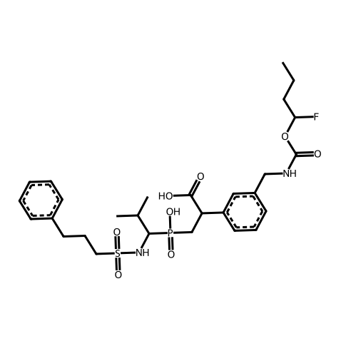 CCCC(F)OC(=O)NCc1cccc(C(CP(=O)(O)C(NS(=O)(=O)CCCc2ccccc2)C(C)C)C(=O)O)c1